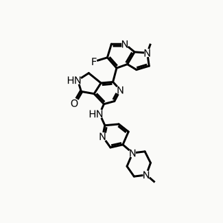 CN1CCN(c2ccc(Nc3cnc(-c4c(F)cnc5c4ccn5C)c4c3C(=O)NC4)nc2)CC1